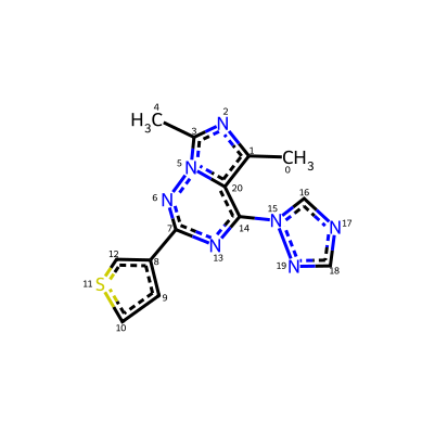 Cc1nc(C)n2nc(-c3ccsc3)nc(-n3cncn3)c12